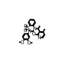 COc1ccc(N2C(=O)N(C(C)c3c(C)ccnc3C)c3ccccc3S2(=O)=O)cc1OC